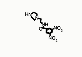 O=C(NCCN1CCNCC1)c1cc([N+](=O)[O-])cc([N+](=O)[O-])c1